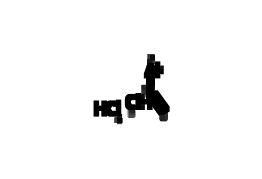 C=[CH][Al].Cl.Cl